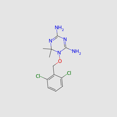 CC1(C)N=C(N)N=C(N)N1OCc1c(Cl)cccc1Cl